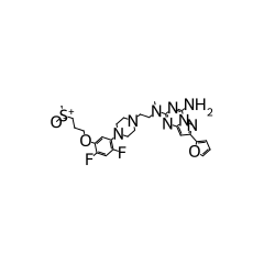 CN(CCN1CCN(c2cc(OCCC[S@+](C)[O-])c(F)cc2F)CC1)c1nc(N)n2nc(-c3ccco3)cc2n1